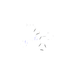 O=C(O)c1cc2c(s1)c(C1CCCCC1)c(-c1ccccc1)n2CCN1CCCC1